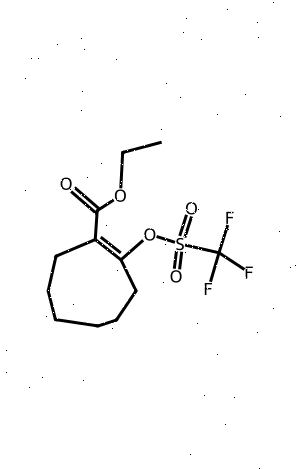 CCOC(=O)/C1=C(\OS(=O)(=O)C(F)(F)F)CCCCCC1